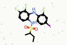 CCC(C)S(=O)(=O)Nc1ccc(F)c(F)c1Nc1ccc(I)cc1F